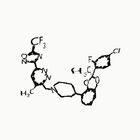 Cc1cc(-c2noc(C(F)(F)F)n2)nnc1CN1CCC(c2cccc3c2O[C@@](C)(c2ccc(Cl)cc2F)O3)CC1